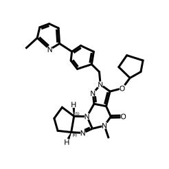 Cc1cccc(-c2ccc(Cn3nc4c(c3OC3CCCC3)C(=O)N(C)C3=N[C@@H]5CCC[C@@H]5N34)cc2)n1